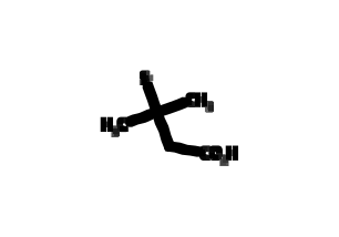 CC(C)([S])CC(=O)O